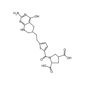 Nc1nc(O)c2c(n1)NCC(CCc1ccc(C(=O)N3CC(C(=O)O)CC3C(=O)O)s1)C2